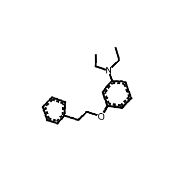 CCN(CC)c1cccc(OCCc2ccccc2)c1